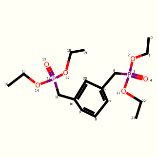 CCOP(=O)(Cc1cccc(CP(=O)(OCC)OCC)c1)OCC